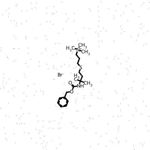 CC(C)(CCSCCC[N+](C)(C)C)NC(=O)OCc1ccccc1.[Br-]